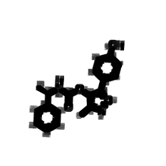 Cc1noc(-c2ccc(O)cc2)c1OC(=O)N[C@H](C)c1ccccc1